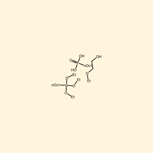 CCCCCCCCP(=O)(O)O.CCCCCCCC[Si](OCC)(OCC)OCC.CCOCCO